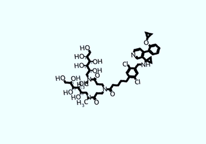 CN(C[C@H](O)[C@@H](O)[C@H](O)[C@H](O)CO)C(=O)CCN(CCC(=O)N(C)C[C@H](O)[C@@H](O)[C@H](O)[C@H](O)CO)C(=O)CCCCc1cc(Cl)c(CNC2(c3cnccc3-c3ccccc3OC3CC3)CC2)cc1Cl